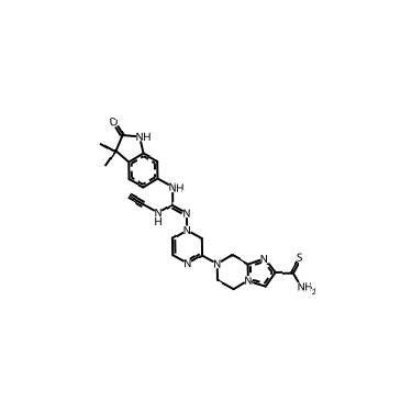 C#CN/C(=N\N1C=CN=C(N2CCn3cc(C(N)=S)nc3C2)C1)Nc1ccc2c(c1)NC(=O)C2(C)C